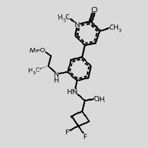 COC[C@@H](C)Nc1cc(-c2cc(C)c(=O)n(C)c2)ccc1NC(O)C1CC(F)(F)C1